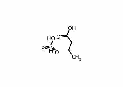 CCCC(=O)O.O=[SH](O)=S